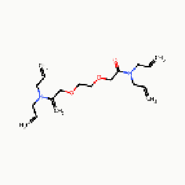 C=CCN(CC=C)C(=C)COCCOCC(=O)N(CC=C)CC=C